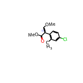 CO/C=C(/C(=O)OC)c1ccc(Cl)cc1C